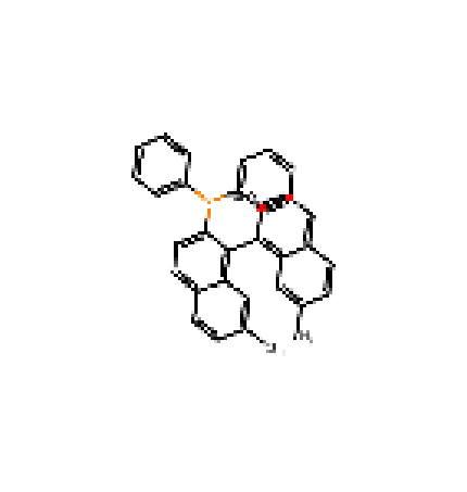 COc1ccc2ccc(C)cc2c1-c1c(P(c2ccccc2)c2ccccc2)ccc2ccc(C)cc12